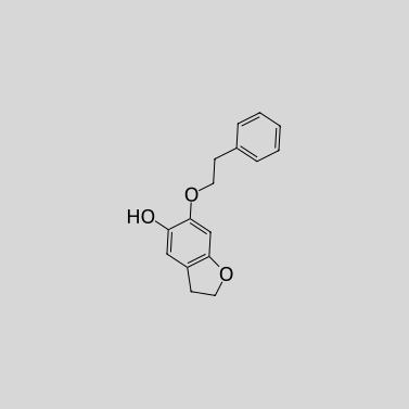 Oc1cc2c(cc1OCCc1ccccc1)OCC2